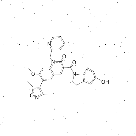 COc1cc2c(cc1-c1c(C)noc1C)cc(C(=O)N1CCc3cc(O)ccc31)c(=O)n2Cc1ccccn1